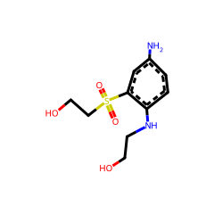 Nc1ccc(NCCO)c(S(=O)(=O)CCO)c1